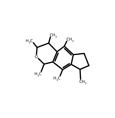 Cc1c2c(c(C)c3c1C(C)OC(C)C3C)CCC2C